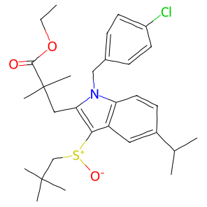 CCOC(=O)C(C)(C)Cc1c([S+]([O-])CC(C)(C)C)c2cc(C(C)C)ccc2n1Cc1ccc(Cl)cc1